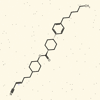 CCCCCCc1ccc([C@H]2CC[C@H](C(=O)OC3CCC(CC/C=C/C#N)CC3)CC2)cc1